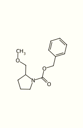 COCC1CCCN1C(=O)OCc1ccccc1